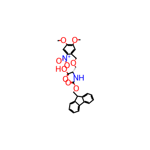 COc1cc(COC[C@H](NC(=O)OCC2c3ccccc3-c3ccccc32)C(=O)O)c([N+](=O)[O-])cc1OC